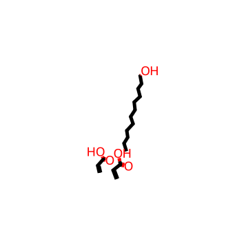 C=CC(=O)O.C=CC(=O)O.CCCCCCCCCCCCO